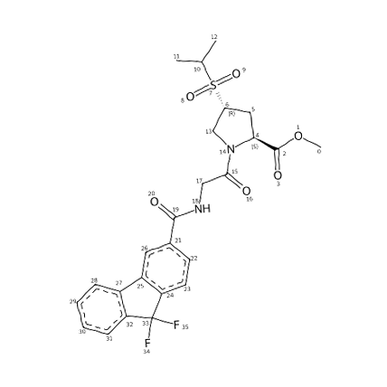 COC(=O)[C@@H]1C[C@@H](S(=O)(=O)C(C)C)CN1C(=O)CNC(=O)c1ccc2c(c1)-c1ccccc1C2(F)F